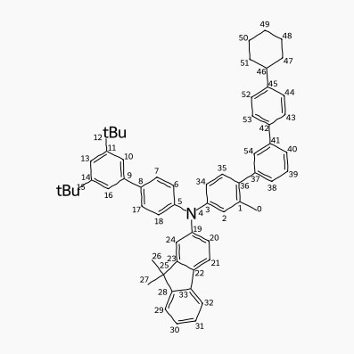 Cc1cc(N(c2ccc(-c3cc(C(C)(C)C)cc(C(C)(C)C)c3)cc2)c2ccc3c(c2)C(C)(C)c2ccccc2-3)ccc1-c1cccc(-c2ccc(C3CCCCC3)cc2)c1